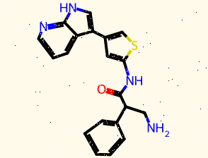 NCC(C(=O)Nc1cc(-c2c[nH]c3ncccc23)cs1)c1ccccc1